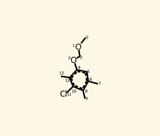 COCOc1cc(C)c(C)c(Cl)c1C